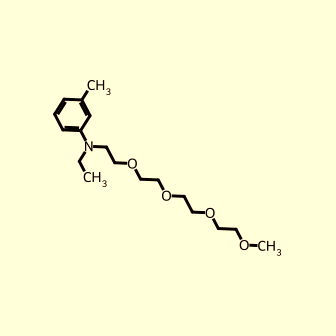 CCN(CCOCCOCCOCCOC)c1cccc(C)c1